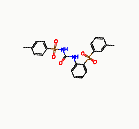 Cc1ccc(S(=O)(=O)NC(=O)Nc2ccccc2S(=O)(=O)c2cccc(C)c2)cc1